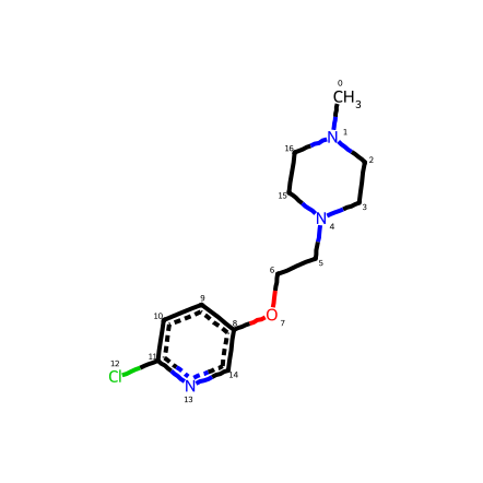 CN1CCN(CCOc2ccc(Cl)nc2)CC1